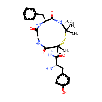 CC1(C)SSC(C)(C)[C@H](NC(=O)[C@@H](N)Cc2ccc(O)cc2)C(=O)NCC(=O)N[C@@H](Cc2ccccc2)C(=O)N[C@@H]1C(=O)O